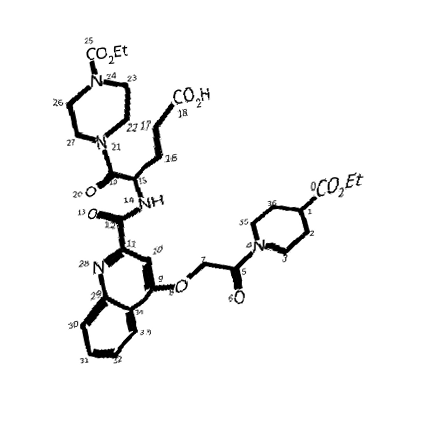 CCOC(=O)C1CCN(C(=O)COc2cc(C(=O)NC(CCC(=O)O)C(=O)N3CCN(C(=O)OCC)CC3)nc3ccccc23)CC1